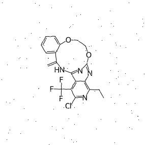 C=C1Nc2nc(nc3c(CC)nc(Cl)c(C(F)(F)F)c23)OCCOc2ccccc21